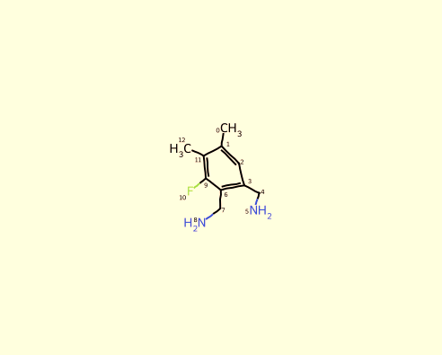 Cc1cc(CN)c(CN)c(F)c1C